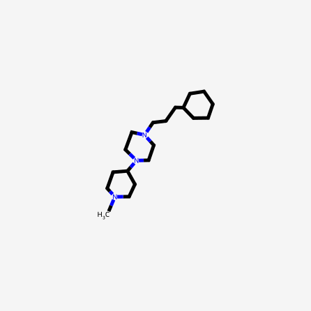 CN1CCC(N2CCN(CCCC3CCCCC3)CC2)CC1